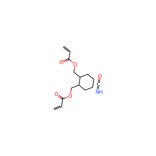 C=CC(=O)OCC1CCCCC1COC(=O)C=C.N=C=O